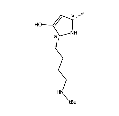 C[C@H]1C=C(O)[C@@H](CCCCNC(C)(C)C)N1